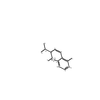 CCC(/C=C\c1c(C)ncnc1N)C(C)C